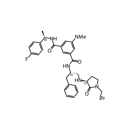 CNc1cc(C(=O)N[C@H](CN[C@H]2CCN(CC(C)C)C2=O)Cc2ccccc2)cc(C(=O)N[C@H](C)c2ccc(F)cc2)c1